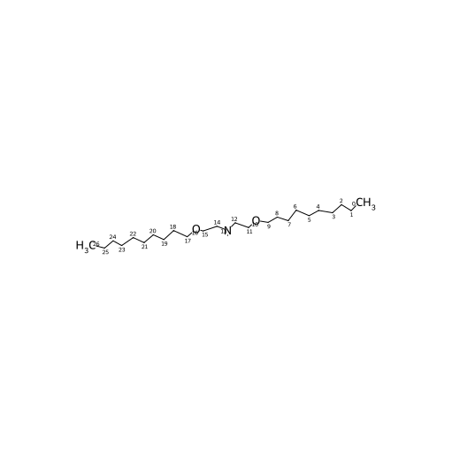 CCCCCCCCCCOCC[N]CCOCCCCCCCCCC